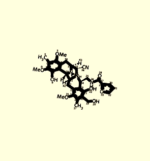 COc1c(C)c(OC)c2c(c1O)[C@H]1[C@@H]3Cc4c(OC)c(C)c(CO)c(O)c4[C@H](CNC(=O)c4ccco4)N3[C@@H](C#N)[C@H](C2)N1C